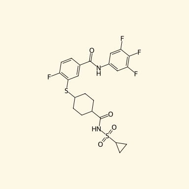 O=C(Nc1cc(F)c(F)c(F)c1)c1ccc(F)c(SC2CCC(C(=O)NS(=O)(=O)C3CC3)CC2)c1